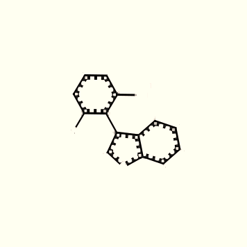 Cl.Nc1cccc(O)c1-c1csc2ccccc12